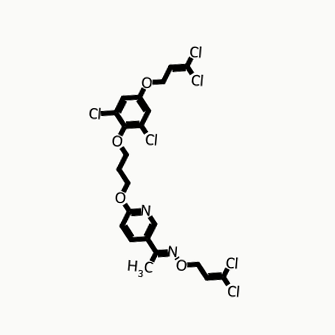 CC(=NOCC=C(Cl)Cl)c1ccc(OCCCOc2c(Cl)cc(OCC=C(Cl)Cl)cc2Cl)nc1